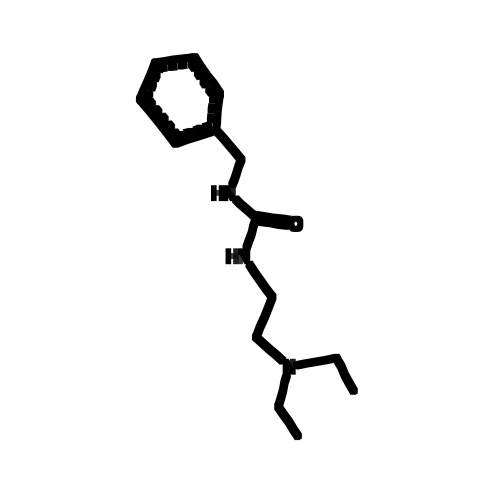 CCN(CC)CCNC(=O)NCc1ccccc1